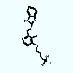 [2H]C([2H])([2H])OCCOc1ccnc(CSc2nc3ccccc3[nH]2)c1C